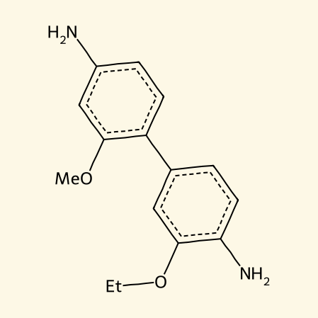 CCOc1cc(-c2ccc(N)cc2OC)ccc1N